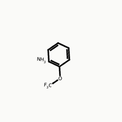 FC(F)(F)Oc1ccccc1.N